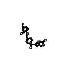 O=C1N[C@]2(CO1)C[C@H](C(=O)N1CCC(COc3ccc(F)cc3Cl)CC1)C2